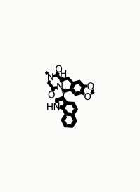 CN1CC(=O)N2[C@H](c3c[nH]c4c3ccc3ccccc34)c3cc4c(cc3C[C@H]2C1=O)OCO4